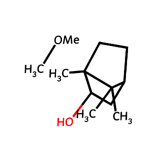 CC1(C)C2CCC1(C)C(O)C2.COC